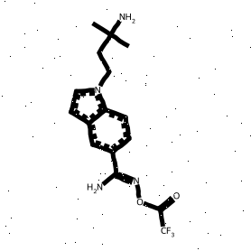 CC(C)(N)CCn1ccc2cc(C(N)=NOC(=O)C(F)(F)F)ccc21